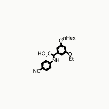 CCCCCCOc1cc(OCC)cc(C(Nc2ccc(C#N)cc2)C(=O)O)c1